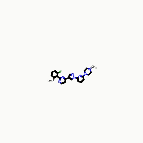 COc1cccc(F)c1-c1nccc(-c2cnn(-c3cccc(N4CCN(C)CC4)n3)c2)n1